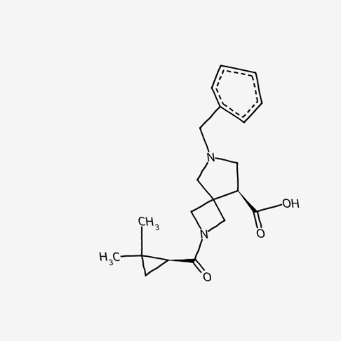 CC1(C)C[C@@H]1C(=O)N1CC2(CN(Cc3ccccc3)C[C@H]2C(=O)O)C1